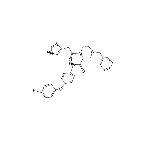 O=C(Nc1ccc(Oc2ccc(F)cc2)cc1)C1CN(Cc2ccccc2)CCN1C(=O)Cc1c[nH]cn1